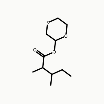 CCC(C)C(C)C(=O)OC1CSCCO1